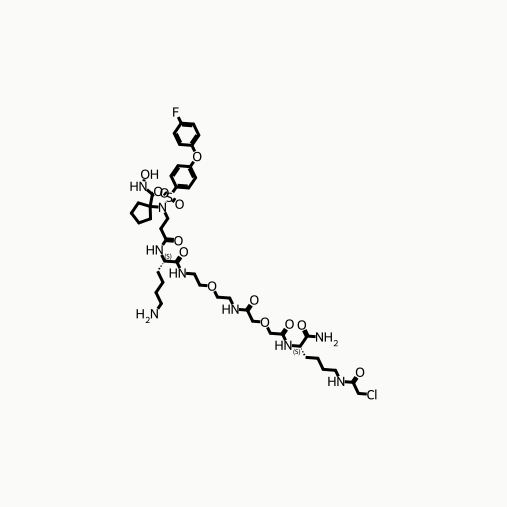 NCCCC[C@H](NC(=O)CCN(C1(C(=O)NO)CCCC1)S(=O)(=O)c1ccc(Oc2ccc(F)cc2)cc1)C(=O)NCCOCCNC(=O)COCC(=O)N[C@@H](CCCCNC(=O)CCl)C(N)=O